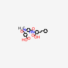 CN(C(=O)c1ccc(C(=O)O)cc1)c1ccc(C(=O)Nc2ccc(/C=C/c3ccccc3)cc2C(=O)O)cc1